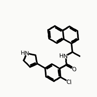 CC(NC(=O)c1cc(C2=CCNC2)ccc1Cl)c1cccc2ccccc12